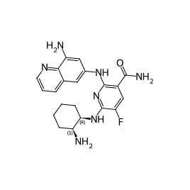 NC(=O)c1cc(F)c(N[C@@H]2CCCC[C@@H]2N)nc1Nc1cc(N)c2ncccc2c1